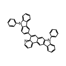 c1ccc(-n2c3ccccc3c3cc(-c4cc5cc6c(cc5c5cccnc45)c4ccccc4n6-c4ccccc4)ccc32)cc1